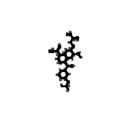 COc1cc2c(C(=O)c3cccc(OC(C)C)c3)ncc(C(=O)O)c2cc1OCC(=O)O